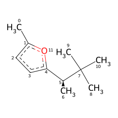 Cc1ccc([C@H](C)C(C)(C)C)o1